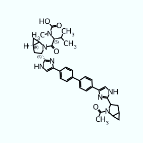 CC(=O)N1C(c2nc(-c3ccc(-c4ccc(-c5c[nH]c([C@@H]6C[C@H]7CC7N6C(=O)[C@H](C(C)C)N(C)C(=O)O)n5)cc4)cc3)c[nH]2)CC2CC21